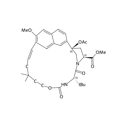 COC(=O)[C@@H]1C[C@]2(OC(C)=O)CN1C(=O)[C@H](C(C)(C)C)NC(=O)OCCC(C)(C)CC=Cc1cc3cc2ccc3cc1OC